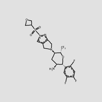 N[C@H]1C[C@@H](N2Cc3cn(S(=O)(=O)C4COC4)nc3C2)[C@H](C(F)(F)F)O[C@@H]1c1cc(F)c(F)cc1F